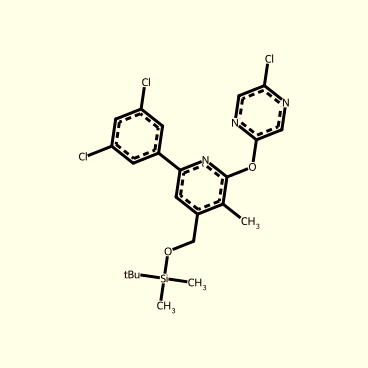 Cc1c(CO[Si](C)(C)C(C)(C)C)cc(-c2cc(Cl)cc(Cl)c2)nc1Oc1cnc(Cl)cn1